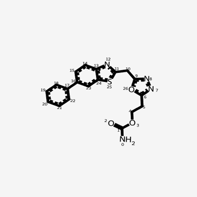 NC(=O)OCCc1nnc(Cc2nc3ccc(-c4ccccc4)cc3s2)o1